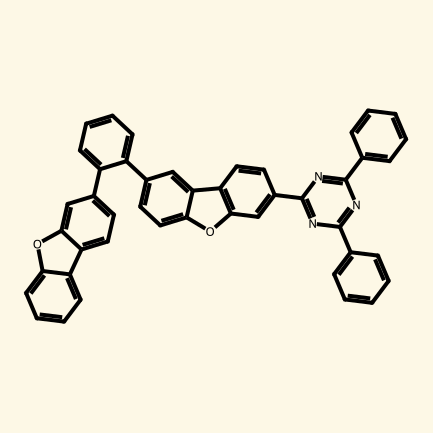 c1ccc(-c2nc(-c3ccccc3)nc(-c3ccc4c(c3)oc3ccc(-c5ccccc5-c5ccc6c(c5)oc5ccccc56)cc34)n2)cc1